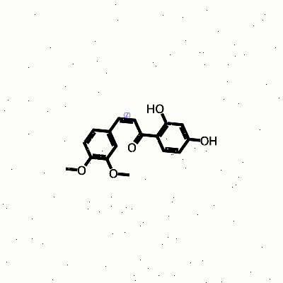 COc1ccc(/C=C\C(=O)c2ccc(O)cc2O)cc1OC